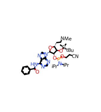 CNCC[C@H]1O[C@@H](n2cnc3c(NC(=O)c4ccccc4)ncnc32)[C@@H](OP(OCCC#N)N(C(C)C)C(C)C)C1O[Si](C)(C)C(C)(C)C